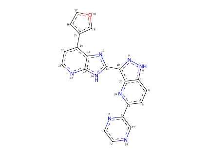 c1cnc(-c2ccc3[nH]nc(-c4nc5c(-c6ccoc6)ccnc5[nH]4)c3n2)cn1